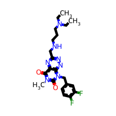 CCN(CC)CCCNCc1nnc2c(n1)c(=O)n(C)c(=O)n2Cc1ccc(F)c(F)c1